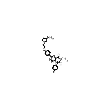 Cn1c(=O)c2nc(-c3ccc(OCCN4CCC(N)C4)cc3)nnc2n(-c2ccc(F)cc2)c1=O